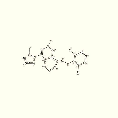 Cc1cc(-c2nonc2C)c2cccc(OCc3c(Cl)cncc3Cl)c2n1